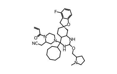 C=CC(=O)N1CCN(C2(C3CCCCCCC3)NC(OCC3CCCN3C)NC3C[C@@]4(CCC32)Cc2c(F)cccc2O4)CC1CC#N